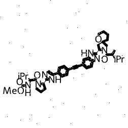 COC(=O)N[C@H](C(=O)N1CCC[C@H]1c1ncc(-c2ccc(C#Cc3ccc4nc([C@@H]5C[C@@]6(CCCCO6)CN5C(=O)[C@@H](C)C(C)C)[nH]c4c3)cc2)[nH]1)C(C)C